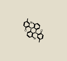 Cc1ccc(Cl)c(B2c3cccc(Br)c3B(c3cc(C)ccc3Cl)c3cccc(Br)c32)c1